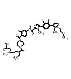 CCC(CCN(C)CC(N)=O)C(=O)N1CCN(C(=O)c2ccc(NC(=O)c3ncc(-c4ccc(-c5cnn(CCOC)c5C)c(F)c4F)n3C)cc2Cl)CC1